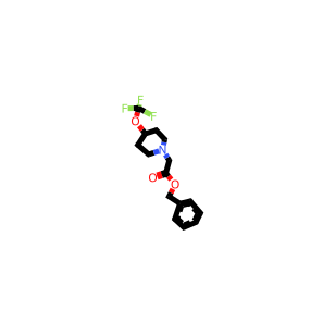 O=C(CN1CCC(OC(F)(F)F)CC1)OCc1ccccc1